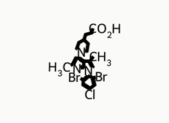 Cc1cc(N2CCC(CCC(=O)O)CC2)c2c(C)cn(-c3c(Br)cc(Cl)cc3Br)c2n1